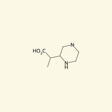 CC(C(=O)O)C1C[N]CCN1